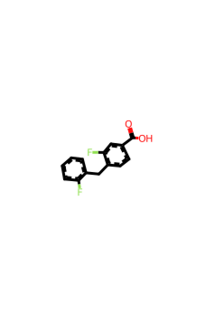 O=C(O)c1ccc(Cc2ccccc2F)c(F)c1